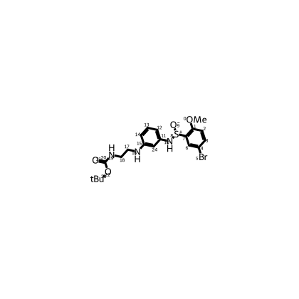 COc1ccc(Br)cc1[S+]([O-])Nc1cccc(NCCNC(=O)OC(C)(C)C)c1